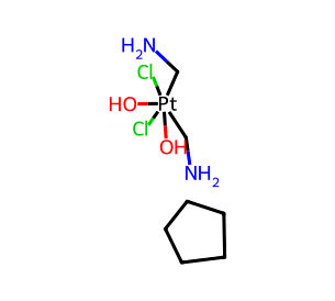 C1CCCC1.N[CH2][Pt]([OH])([OH])([Cl])([Cl])[CH2]N